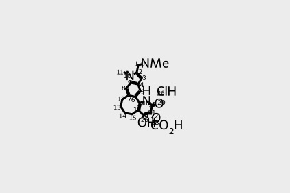 CNCc1cc2cc3c(cc2n1C)CCCCc1c-3[nH]c(=O)c(OC(=O)O)c1O.Cl